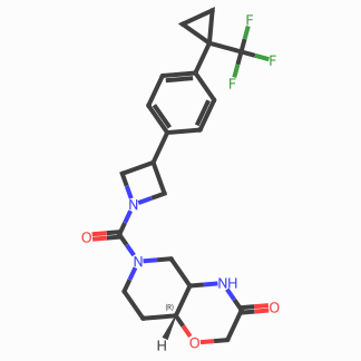 O=C1CO[C@@H]2CCN(C(=O)N3CC(c4ccc(C5(C(F)(F)F)CC5)cc4)C3)CC2N1